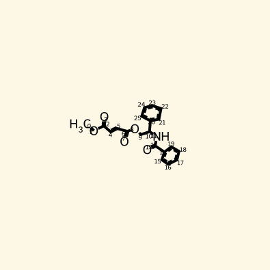 COC(=O)/C=C/C(=O)OCC(NC(=O)c1ccccc1)c1ccccc1